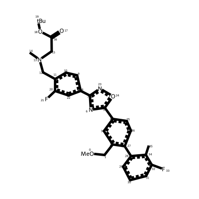 COCc1cc(-c2nc(-c3ccc(CN(C)CC(=O)OC(C)(C)C)c(F)c3)no2)ccc1-c1cccc(F)c1C